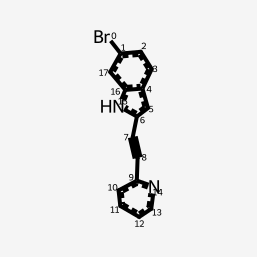 Brc1ccc2cc(C#Cc3ccccn3)[nH]c2c1